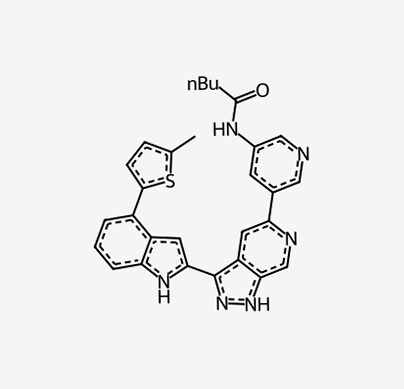 CCCCC(=O)Nc1cncc(-c2cc3c(-c4cc5c(-c6ccc(C)s6)cccc5[nH]4)n[nH]c3cn2)c1